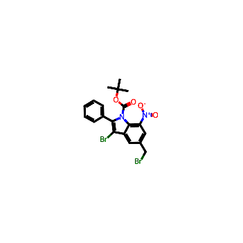 CC(C)(C)OC(=O)n1c(-c2ccccc2)c(Br)c2cc(CBr)cc([N+](=O)[O-])c21